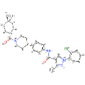 O=C(Nc1ccc(C2CCN(C(=O)[C@H]3CC[C@H](C(=O)O)CC3)CC2)cc1)c1cn(-c2ccccc2Cl)nc1C(F)(F)F